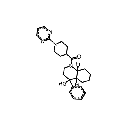 O=C(C1CCN(c2ncccn2)CC1)N1CCC(O)(c2ccccc2)[C@H]2CCCC[C@H]21